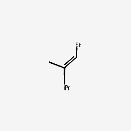 [CH2]C(C)/C(C)=C/CC